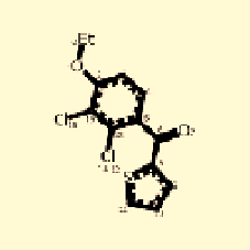 CCOc1ccc(C(=O)c2cccs2)c(Cl)c1Cl